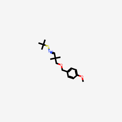 COc1ccc(COCC(C)(C)/C=N/SC(C)(C)C)cc1